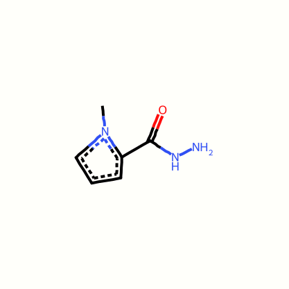 Cn1cccc1C(=O)NN